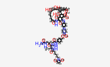 CO[C@H]1/C=C/O[C@@]2(C)Oc3c4c(O)c5c(=O)c(c6oc7cc(N8CCN(C(=O)OCc9ccc(NC(=O)[C@H](CCCNC(N)=O)NC(=O)[C@@H](NC(=O)CCCCCN%10C(=O)C=CC%10=O)C(C)C)cc9)CC8)ccc7nc-6c5c3C2=O)NC(=O)/C(C)=C\C=C\[C@H](C)[C@H](O)[C@@H](C)[C@@H](O)[C@@H](C)[C@H](OC(C)=O)[C@@]41C